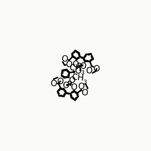 CC(C)(Op1oc2c(C3OCCO3)cccc2c2cccc(C3OCCO3)c2o1)c1ccccc1Op1oc2c(C3OCCO3)cccc2c2cccc(C3OCCO3)c2o1